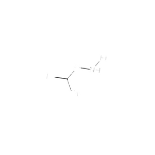 C[CH]NOC(CC)C(C)C